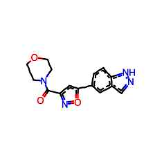 O=C(c1cc(-c2ccc3[nH]ncc3c2)on1)N1CCOCC1